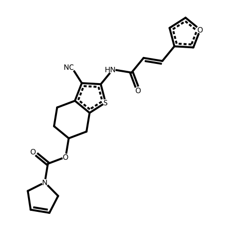 N#Cc1c(NC(=O)C=Cc2ccoc2)sc2c1CCC(OC(=O)N1CC=CC1)C2